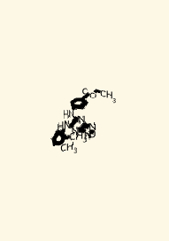 CCOC(=O)c1ccc(Nc2nc3nonc3nc2Nc2cccc(C)c2C)cc1